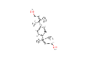 OCCC(c1ccc(C(CCO)(C(F)(F)F)C(F)(F)F)cc1)(C(F)(F)F)C(F)(F)F